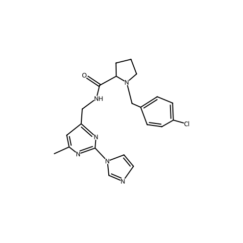 Cc1cc(CNC(=O)C2CCCN2Cc2ccc(Cl)cc2)nc(-n2ccnc2)n1